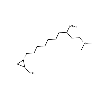 CCCCCCCCCC(CCCCCCC[C@H]1CC1CCCCCCCC)CCN(C)C